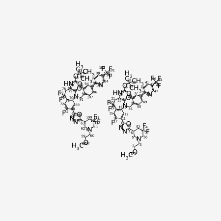 COCCN1CC(c2nnc(-c3cc4c(cc3F)C(F)(F)CC(NC(=O)OC(C)(C)C)C(=O)N4Cc3ccc(-c4ccc(C(F)(F)F)cn4)cc3)o2)CC(F)(F)C1.COCCN1CC(c2nnc(-c3cc4c(cc3F)C(F)(F)C[C@@H](NC(=O)OC(C)(C)C)C(=O)N4Cc3ccc(-c4ccc(C(F)(F)F)cn4)cc3)o2)CC(F)(F)C1